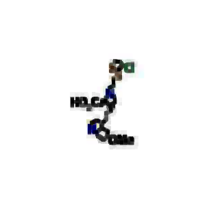 COc1ccc2nccc(CCC[C@@H]3CCN(CCCSc4sccc4Cl)C[C@@H]3CC(=O)O)c2c1